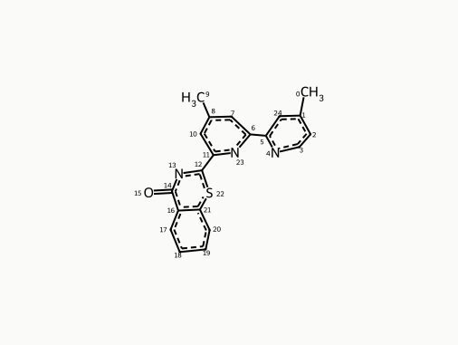 Cc1ccnc(-c2cc(C)cc(-c3nc(=O)c4ccccc4s3)n2)c1